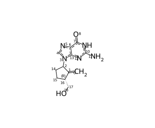 C=C1C(n2cnc3c(=O)[nH]c(N)nc32)CC[C@H]1CO